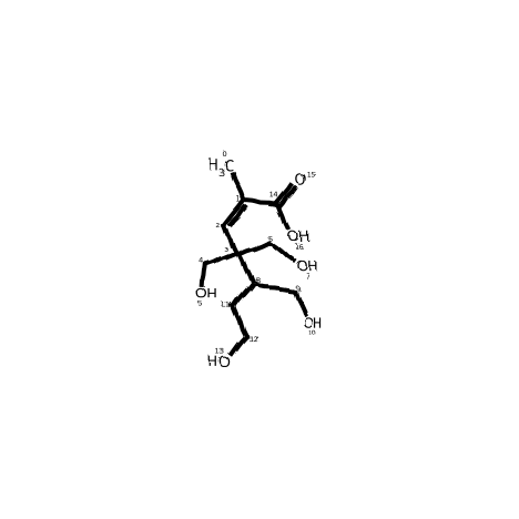 CC(=CC(CO)(CO)C(CO)CCO)C(=O)O